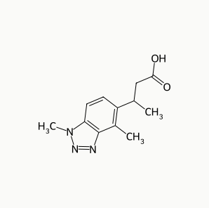 Cc1c(C(C)CC(=O)O)ccc2c1nnn2C